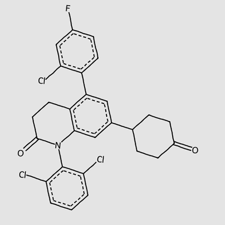 O=C1CCC(c2cc(-c3ccc(F)cc3Cl)c3c(c2)N(c2c(Cl)cccc2Cl)C(=O)CC3)CC1